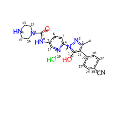 Cc1nn(-c2ccc(NC(=O)N3CCNCC3)cn2)c(O)c1-c1ccc(C#N)cc1.Cl